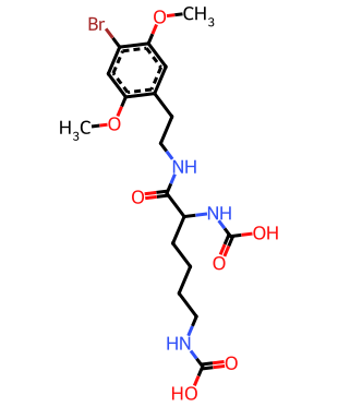 COc1cc(CCNC(=O)C(CCCCNC(=O)O)NC(=O)O)c(OC)cc1Br